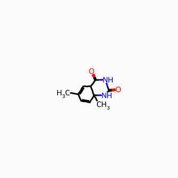 CC1=CC2C(=O)NC(=O)NC2(C)C=C1